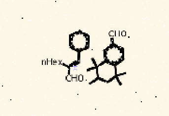 CC1CC(C)(C)c2ccc(C=O)cc2C1(C)C.CCCCCC/C(C=O)=C\c1ccccc1